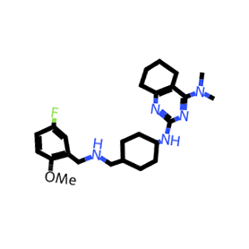 COc1ccc(F)cc1CNCC1CCC(Nc2nc3c(c(N(C)C)n2)CCCC3)CC1